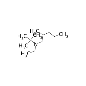 CCCC(C)CN(CC)C(C)(C)C